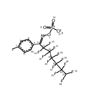 Cc1ccc(C(=NOS(=O)(=O)C(F)(F)F)C(F)(F)C(F)(F)C(F)(F)C(F)(F)C(F)(F)C(F)F)cc1